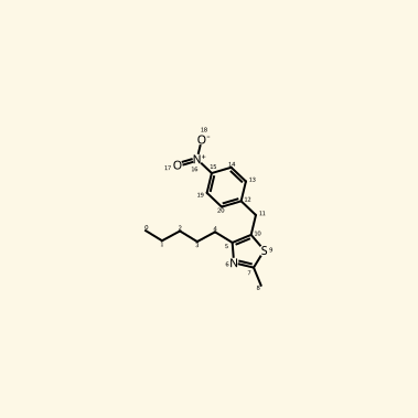 CCCCCc1nc(C)sc1Cc1ccc([N+](=O)[O-])cc1